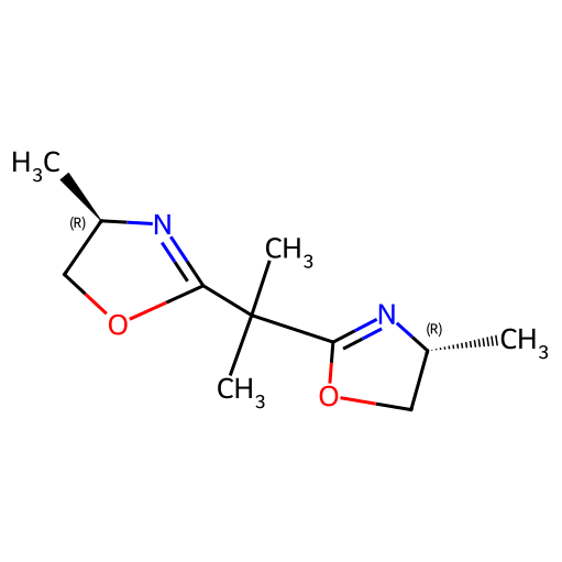 C[C@@H]1COC(C(C)(C)C2=N[C@H](C)CO2)=N1